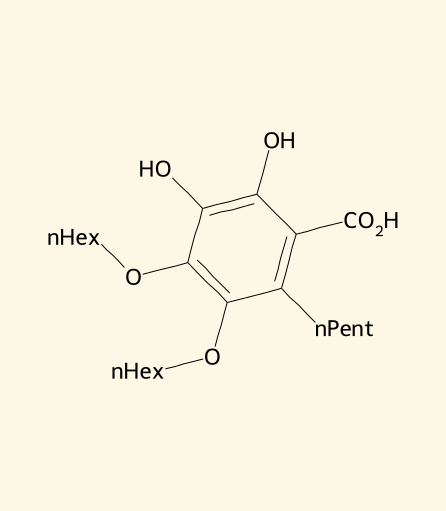 CCCCCCOc1c(O)c(O)c(C(=O)O)c(CCCCC)c1OCCCCCC